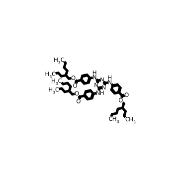 CCCCC(CCC)COC(=O)c1ccc(Nc2nc(Nc3ccc(C(=O)OCC(CCC)CCCC)cc3)nc(Nc3ccc(C(=O)OCC(CCC)CCCC)cc3)n2)cc1